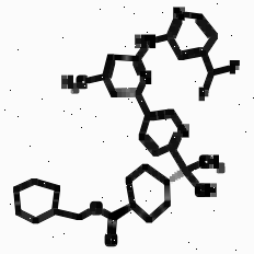 Cc1cc(Nc2cc(C(F)F)ccn2)nc(-c2ccc(C(C)(O)[C@H]3CC[C@H](C(=O)OCC4CCCCC4)CC3)nc2)c1